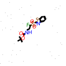 CC(C)(C)OC(=O)NCCC(F)S(=O)(=O)c1nc2ccccc2s1